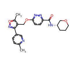 Cc1ccc(-c2noc(C)c2COc2ccc(C(=O)N[C@H]3CCCOC3)nn2)cn1